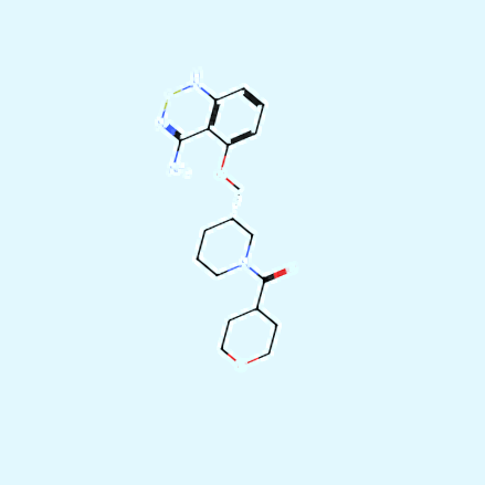 NC1=NSNc2cccc(OC[C@H]3CCCN(C(=O)C4CCOCC4)C3)c21